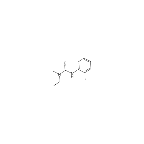 CCN(C)C(=O)Nc1ccccc1C